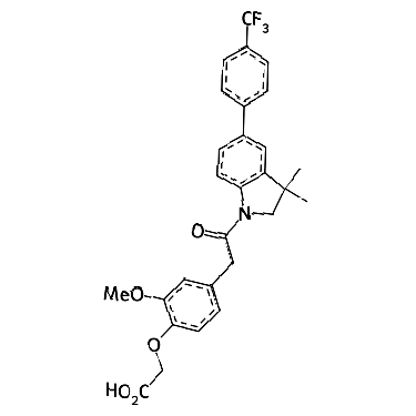 COc1cc(CC(=O)N2CC(C)(C)c3cc(-c4ccc(C(F)(F)F)cc4)ccc32)ccc1OCC(=O)O